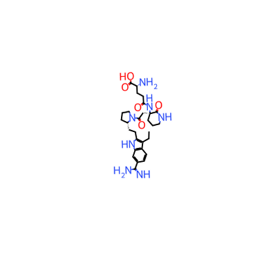 CCc1c(CC[C@@H]2CCCN2C(=O)C[C@@]2(NC(=O)CC[C@@H](N)C(=O)O)CCCNC2=O)[nH]c2cc(C(=N)N)ccc12